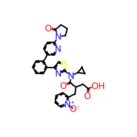 O=C(O)CC(Cc1cccc[n+]1[O-])C(=O)N(c1nc(-c2ccccc2-c2ccc(N3CCCC3=O)nc2)cs1)C1CC1